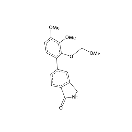 COCOc1c(-c2ccc3c(c2)CNC3=O)ccc(OC)c1OC